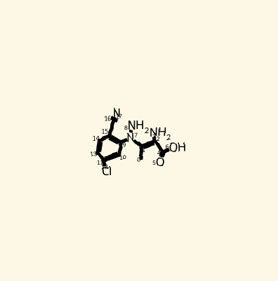 C/C(=C(/N)C(=O)O)N(N)c1cc(Cl)ccc1C#N